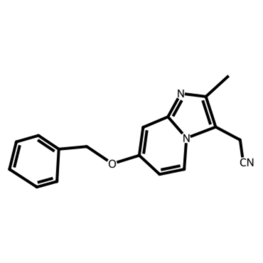 Cc1nc2cc(OCc3ccccc3)ccn2c1CC#N